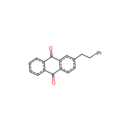 CC(C)CCc1ccc2c(c1)C(=O)c1ccccc1C2=O